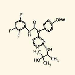 COc1ccc(N(C(=O)Nc2cc(F)cc(F)c2F)c2ccnc(NC(C)C(C)(C)O)n2)cc1